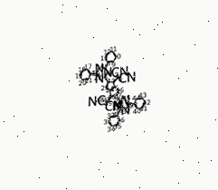 N#CC(C#N)=C1C(c2nc(-c3ccccc3)nc(-c3ccccc3)n2)=CC2=C1C=C(c1nc(-c3ccccc3)nc(-c3ccccc3)n1)C2=C(C#N)C#N